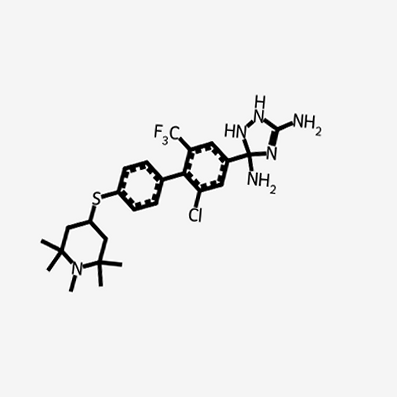 CN1C(C)(C)CC(Sc2ccc(-c3c(Cl)cc(C4(N)N=C(N)NN4)cc3C(F)(F)F)cc2)CC1(C)C